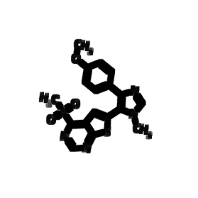 COc1ccc(-c2ncn(C)c2-c2cc3c(S(C)(=O)=O)ncnc3s2)cc1